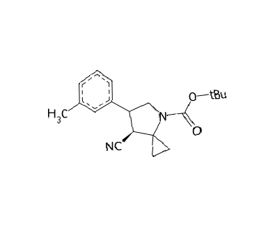 Cc1cccc(C2CN(C(=O)OC(C)(C)C)C3(CC3)[C@H]2C#N)c1